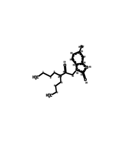 CCCCN(CCCC)C(=O)Cn1c(=O)oc2cc(Br)ccc21